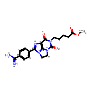 COC(=O)CCCCn1c(=O)c2nc(-c3ccc(C(=N)N)cc3)n3c2n(c1=O)CC3